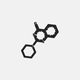 O=c1nc(N2CCCCC2)sc2ccccc12